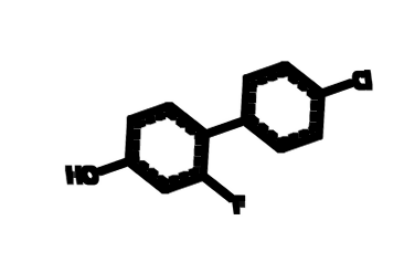 Oc1ccc(-c2ccc(Cl)cc2)c(F)c1